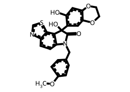 COc1ccc(CN2C(=O)C(O)(c3cc4c(cc3O)OCCO4)c3c2ccc2ncsc32)cc1